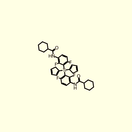 O=C(Nc1ccc(F)[c]([Ti]([C]2=CC=CC2)([C]2=CC=CC2)[c]2c(F)ccc(NC(=O)C3CCCCC3)c2F)c1F)C1CCCCC1